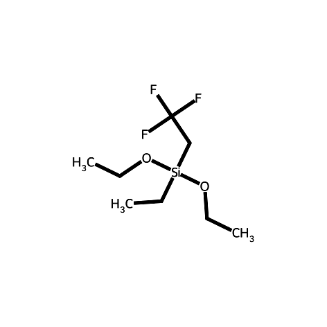 CCO[Si](CC)(CC(F)(F)F)OCC